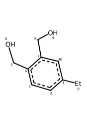 CCc1ccc(CO)c(CO)c1